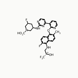 Cc1ccc2c(NC[C@H](O)C(F)(F)F)c(F)ccc2c1Oc1ncccc1-c1ccnc(NC2CC(F)CN(C(=O)O)C2)n1